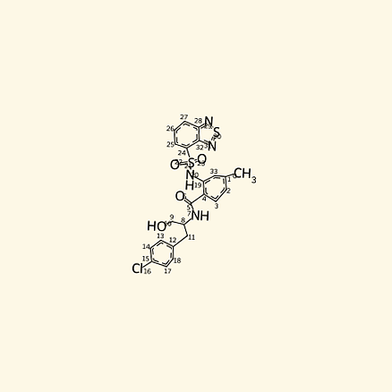 Cc1ccc(C(=O)NC(CO)Cc2ccc(Cl)cc2)c(NS(=O)(=O)c2cccc3nsnc23)c1